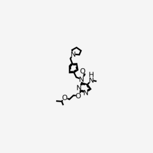 CNc1cnc(OCCOC(C)C)nc1N(C=O)Cc1ccc(CN2CCCC2)cc1